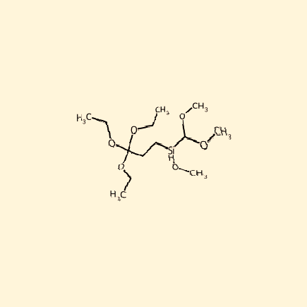 CCOC(CC[SiH](OC)C(OC)OC)(OCC)OCC